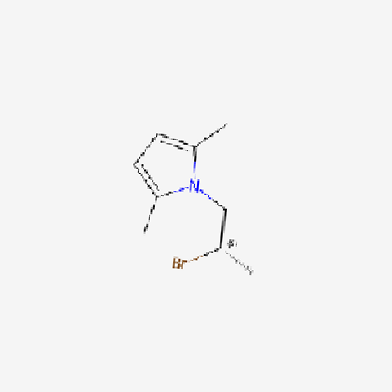 Cc1ccc(C)n1C[C@H](C)Br